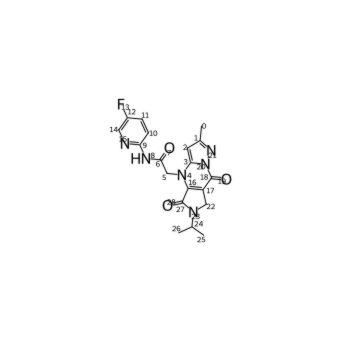 Cc1cc2n(CC(=O)Nc3ccc(F)cn3)c3c(c(=O)n2n1)CN(C(C)C)C3=O